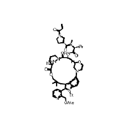 C=CC(=O)N1CC[C@H](C(=O)N(C)[C@H](C(=O)N[C@H]2C[C@H]3CN(CCO3)c3ccc4c(c3)c(c(-c3cccnc3COC)n4CC)CC(C)(C)COC(=O)[C@@H]3CCCN(N3)C2=O)C(C)C)C1